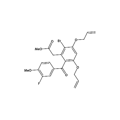 C=CCOc1cc(OCC=C)c(C(=O)c2ccc(OC)c(F)c2)c(CC(=O)OC)c1CC